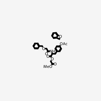 COC(=O)COC(=O)C(Cc1ccc(OC(C)=O)cc1)NC(=O)COCc1ccccc1.c1ccc2c(c1)CO2